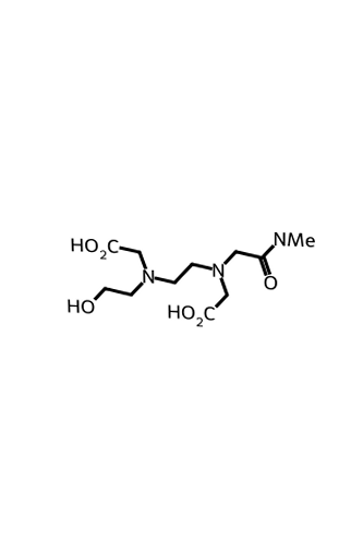 CNC(=O)CN(CCN(CCO)CC(=O)O)CC(=O)O